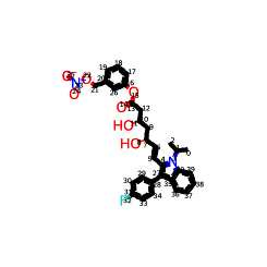 CC(C)n1c(/C=C/[C@H](O)C[C@H](O)CC(=O)Oc2cccc(CO[N+](=O)[O-])c2)c(-c2ccc(F)cc2)c2ccccc21